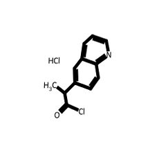 CC(C(=O)Cl)c1ccc2ncccc2c1.Cl